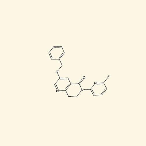 O=C1c2cc(OCc3ccccc3)cnc2CCN1c1cccc(F)n1